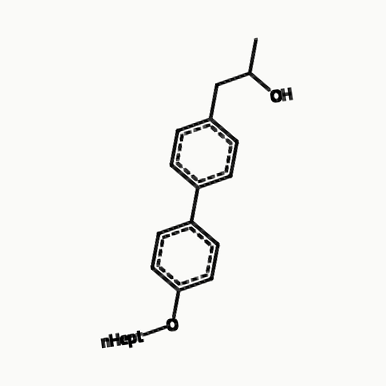 CCCCCCCOc1ccc(-c2ccc(CC(C)O)cc2)cc1